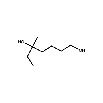 CCC(C)(O)CC[CH]CO